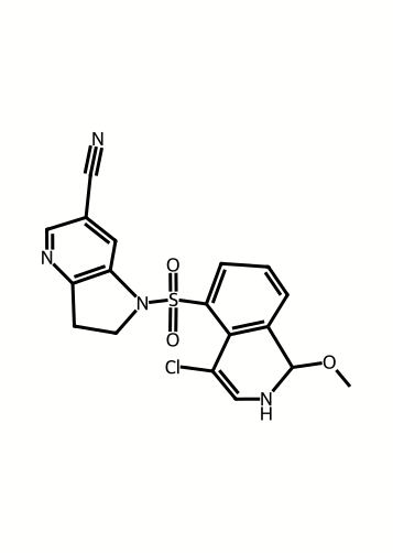 COC1NC=C(Cl)c2c1cccc2S(=O)(=O)N1CCc2ncc(C#N)cc21